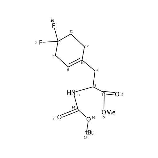 COC(=O)C(CC1=CCC(F)(F)CC1)NC(=O)OC(C)(C)C